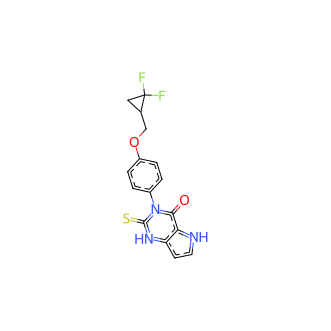 O=c1c2[nH]ccc2[nH]c(=S)n1-c1ccc(OCC2CC2(F)F)cc1